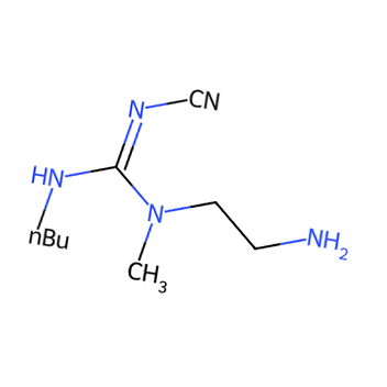 CCCCN/C(=N/C#N)N(C)CCN